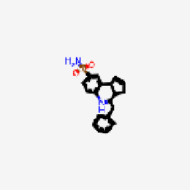 NS(=O)(=O)c1ccc2c(c1)C1C=CCC1C(Cc1ccccc1)N2